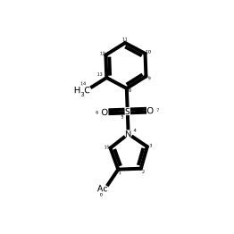 CC(=O)c1ccn(S(=O)(=O)c2ccccc2C)c1